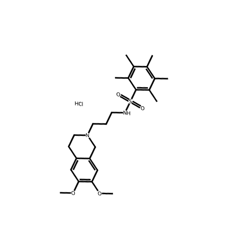 COc1cc2c(cc1OC)CN(CCCNS(=O)(=O)c1c(C)c(C)c(C)c(C)c1C)CC2.Cl